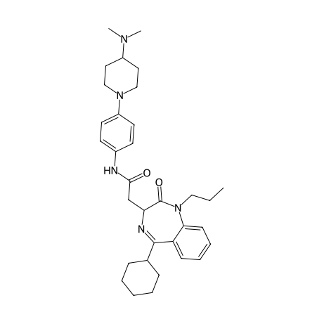 CCCN1C(=O)C(CC(=O)Nc2ccc(N3CCC(N(C)C)CC3)cc2)N=C(C2CCCCC2)c2ccccc21